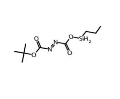 CCC[SiH2]OC(=O)N=NC(=O)OC(C)(C)C